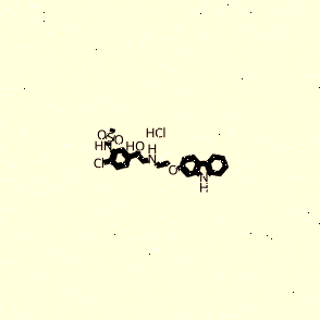 CS(=O)(=O)Nc1cc(C(O)CNCCOc2ccc3c4c([nH]c3c2)CCCC4)ccc1Cl.Cl